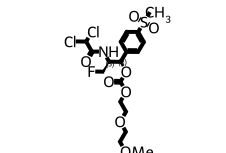 COCCOCCOC(=O)O[C@H](c1ccc(S(C)(=O)=O)cc1)[C@@H](CF)NC(=O)C(Cl)Cl